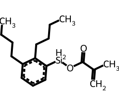 C=C(C)C(=O)O[SiH2]c1cccc(CCCC)c1CCCC